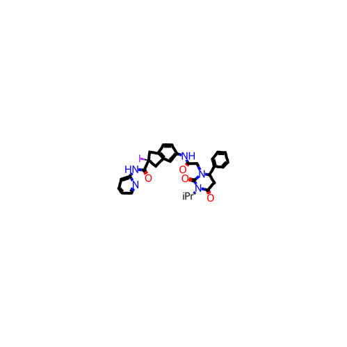 CC(C)N1C(=O)CC(c2ccccc2)N(CC(=O)Nc2ccc3c(c2)C[C@](I)(C(=O)Nc2ccccn2)C3)C1=O